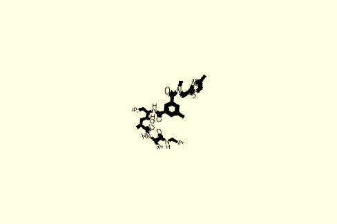 Cc1cc(C(=O)NC(CC(C)C)C(O)CC(C)C(=O)NC(C(=O)NCC(C)C)C(C)C)cc(C(=O)N(C)Cc2nc(C)cs2)c1